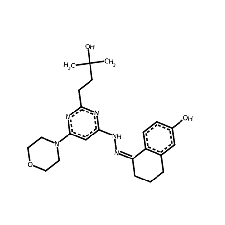 CC(C)(O)CCc1nc(N/N=C2/CCCc3cc(O)ccc32)cc(N2CCOCC2)n1